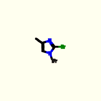 Cc1cn(C(C)C)c(Br)n1